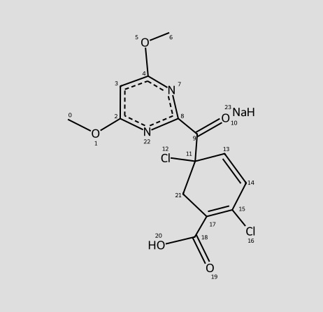 COc1cc(OC)nc(C(=O)C2(Cl)C=CC(Cl)=C(C(=O)O)C2)n1.[NaH]